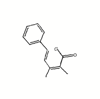 CC(C=Cc1ccccc1)=C(C)C(=O)Cl